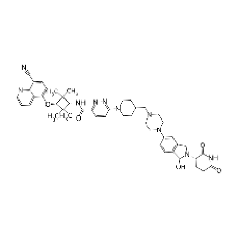 CC1(C)[C@H](NC(=O)c2ccc(N3CCC(CN4CCN(c5ccc6c(c5)CN([C@H]5CCC(=O)NC5=O)C6O)CC4)CC3)nn2)C(C)(C)[C@H]1Oc1ccc(C#N)c2ncccc12